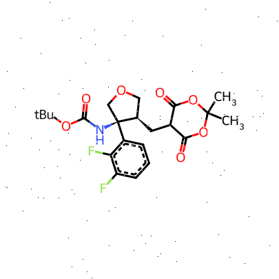 CC(C)(C)OC(=O)N[C@@]1(c2cccc(F)c2F)COC[C@H]1CC1C(=O)OC(C)(C)OC1=O